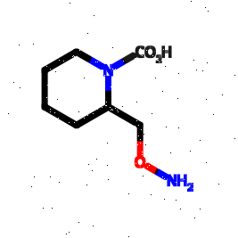 NOCC1CCCCN1C(=O)O